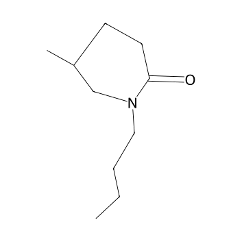 CCCCN1CC(C)CCC1=O